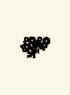 CCC1(CC)CC(=O)N(C2c3cc(C(=O)N[C@@H]4c5ccccc5CC4(C)C)ccc3OCC2OC)C(=N)N1